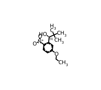 CCOc1ccc([N+](=O)[O-])c([C@@H](O)C(C)(C)C)c1